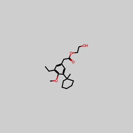 CCc1cc(CC(=O)OCCO)cc(C2(C)CCCCC2)c1OC